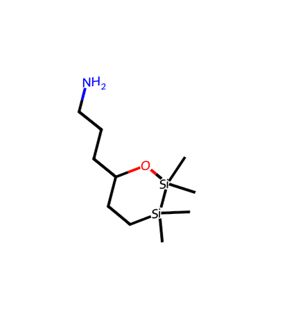 C[Si]1(C)CCC(CCCN)O[Si]1(C)C